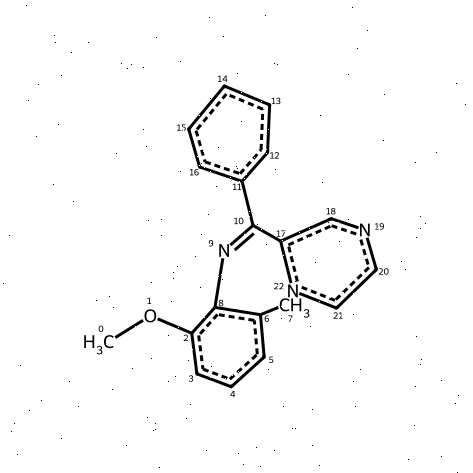 COc1cccc(C)c1N=C(c1ccccc1)c1cnccn1